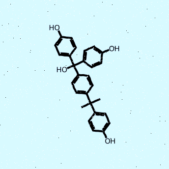 CC(C)(c1ccc(O)cc1)c1ccc(C(O)(c2ccc(O)cc2)c2ccc(O)cc2)cc1